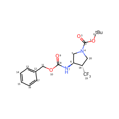 CC(C)(C)OC(=O)N1C[C@H](NC(=O)OCc2ccccc2)[C@@H](C(F)(F)F)C1